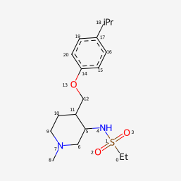 CCS(=O)(=O)NC1CN(C)CCC1COc1ccc(C(C)C)cc1